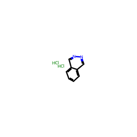 Cl.Cl.c1ccc2cnncc2c1